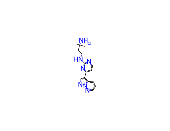 CC(C)(N)CCNc1nccc(-c2cnn3ncccc23)n1